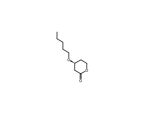 CCCCCO[C@H]1CCOC(=O)C1